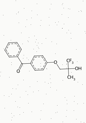 CC(O)(COc1ccc(C(=O)c2ccccc2)cc1)C(F)(F)F